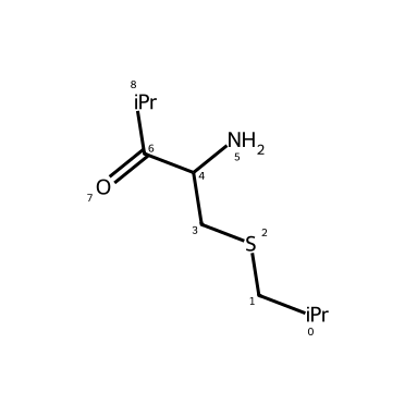 CC(C)CSCC(N)C(=O)C(C)C